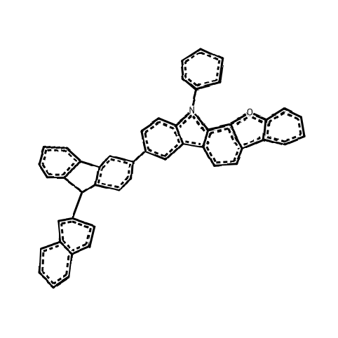 c1ccc(-n2c3ccc(-c4ccc5c(c4)-c4ccccc4C5c4ccc5ccccc5c4)cc3c3ccc4c5ccccc5oc4c32)cc1